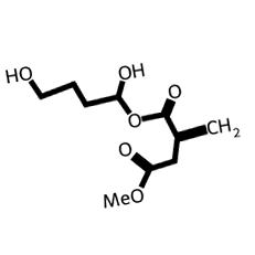 C=C(CC(=O)OC)C(=O)OC(O)CCCO